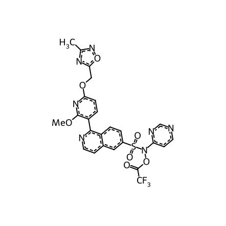 COc1nc(OCc2nc(C)no2)ccc1-c1nccc2cc(S(=O)(=O)N(OC(=O)C(F)(F)F)c3ccncn3)ccc12